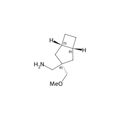 COC[C@@]1(CN)C[C@H]2CC[C@H]2C1